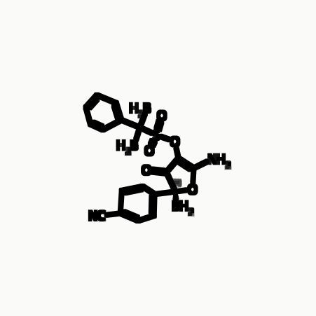 BC(B)(c1ccccc1)S(=O)(=O)OC1=C(N)O[C@](B)(c2ccc(C#N)cc2)C1=O